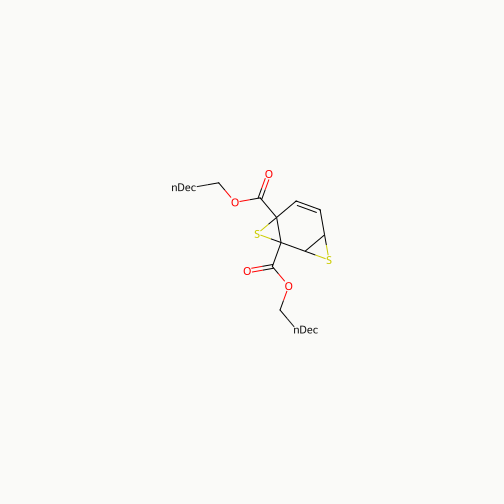 CCCCCCCCCCCOC(=O)C12C=CC3SC3C1(C(=O)OCCCCCCCCCCC)S2